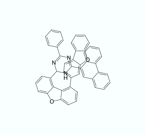 c1ccc(C2=NC(c3cccc4oc5cccc(-c6ccc7c(c6)oc6ccccc67)c5c34)NC(c3cc4ccccc4c4ccccc34)=N2)cc1